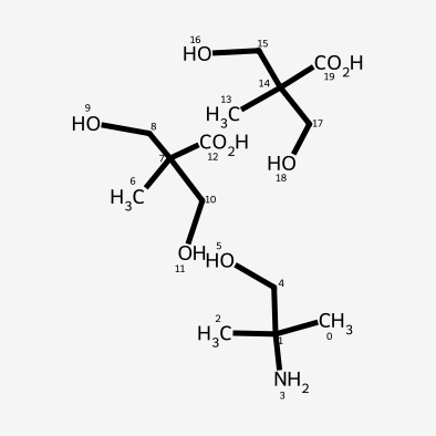 CC(C)(N)CO.CC(CO)(CO)C(=O)O.CC(CO)(CO)C(=O)O